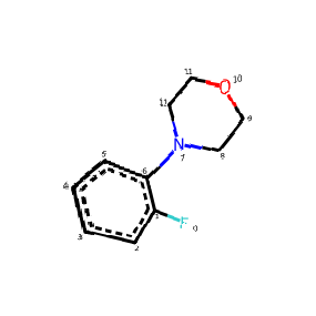 Fc1ccccc1N1CCOCC1